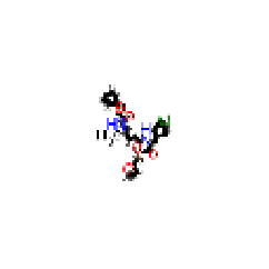 C[C@@H](CCC(=O)N[C@@H](Cc1ccc(Cl)cc1)C(=O)CSCc1ccco1)CNC(=O)COc1ccccc1